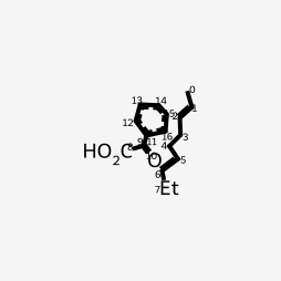 CC=CCCC=CCC.O=C(O)C(=O)c1ccccc1